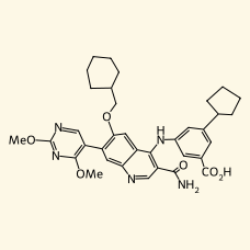 COc1ncc(-c2cc3ncc(C(N)=O)c(Nc4cc(C(=O)O)cc(C5CCCC5)c4)c3cc2OCC2CCCCC2)c(OC)n1